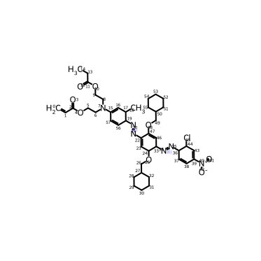 C=CC(=O)OCCN(CCOC(=O)CC)C1=CC(C)C(/N=N/C2=CC(OCC3CCCCC3)C(/N=N/C3C=CC([N+](=O)[O-])=CC3Cl)C=C2OCC2CCCCC2)C=C1